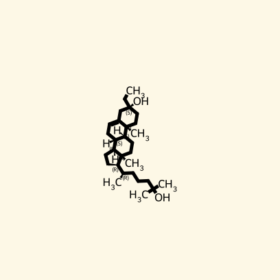 CC[C@]1(O)CC[C@@]2(C)C(=CC[C@H]3[C@@H]4CC[C@H]([C@H](C)CCCC(C)(C)O)[C@@]4(C)CC[C@@H]32)C1